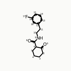 O=C1CCCCC1C(=O)NCCc1cccc(F)c1